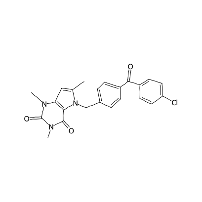 Cc1cc2c(c(=O)n(C)c(=O)n2C)n1Cc1ccc(C(=O)c2ccc(Cl)cc2)cc1